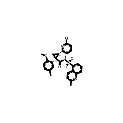 COc1ccc(C)cc1[C@]1(C(=O)NS(=O)(=O)c2cccc3nc(C)ccc23)C[C@@H]1c1cccc(Cl)n1